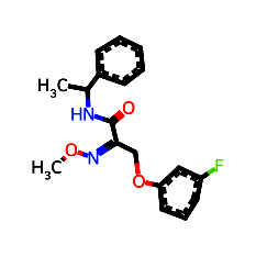 CON=C(COc1cccc(F)c1)C(=O)NC(C)c1ccccc1